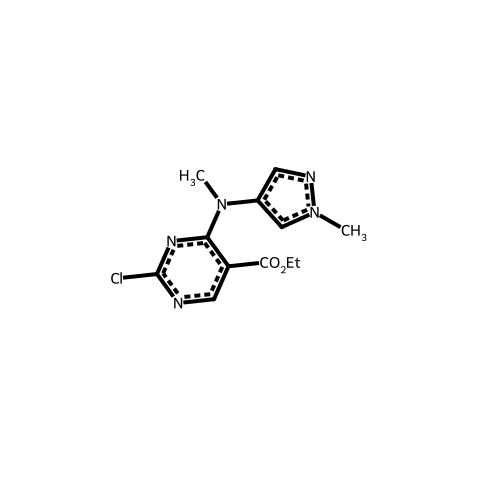 CCOC(=O)c1cnc(Cl)nc1N(C)c1cnn(C)c1